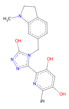 CC(C)c1nc(-c2nnc(O)n2Cc2ccc3c(c2)N(C)CC3)c(O)cc1O